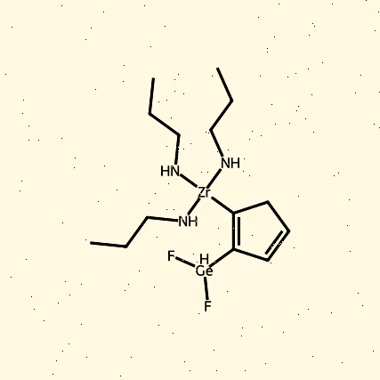 CCC[NH][Zr]([NH]CCC)([NH]CCC)[C]1=[C]([GeH]([F])[F])C=CC1